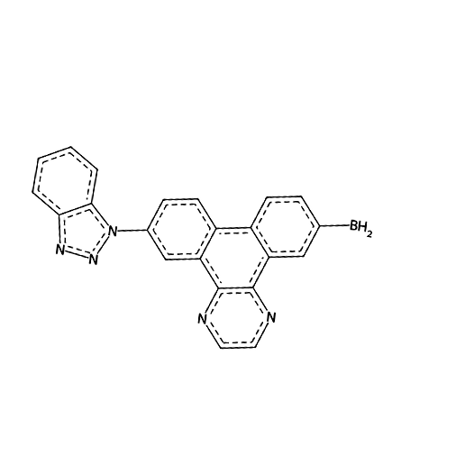 Bc1ccc2c3ccc(-n4nnc5ccccc54)cc3c3nccnc3c2c1